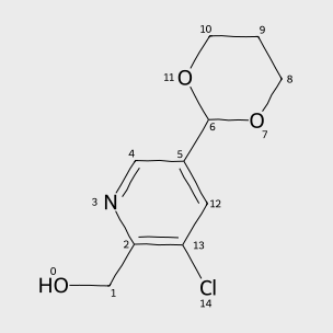 OCc1ncc(C2OCCCO2)cc1Cl